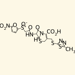 Cc1nnc(SCC2=C(C(=O)O)N3C(=O)C(NC(=O)C[S+]([O-])c4ccc([N+](=O)[O-])o4)[C@@H]3SC2)s1